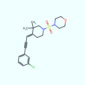 CC1(C)CN(S(=O)(=O)N2CCOCC2)CC/C1=C\C#Cc1cccc(Cl)c1